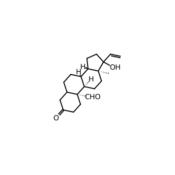 C=CC1(O)CC[C@H]2[C@@H]3CCC4CC(=O)CC[C@]4(C=O)[C@@H]3CC[C@@]21C